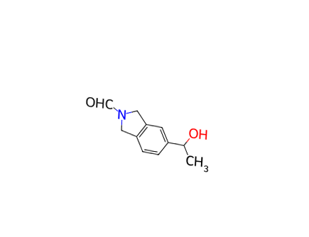 CC(O)c1ccc2c(c1)CN(C=O)C2